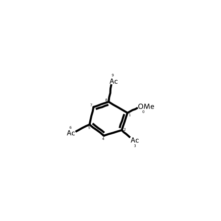 [CH2]Oc1c(C(C)=O)cc(C(C)=O)cc1C(C)=O